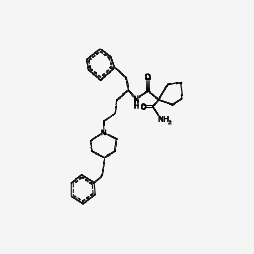 NC(=O)C1(C(=O)NC(CCCN2CCC(Cc3ccccc3)CC2)Cc2ccccc2)CCCC1